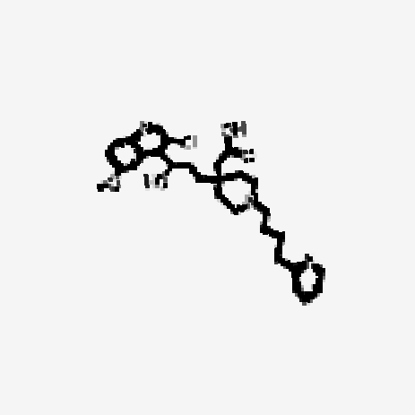 COc1ccc2ncc(Cl)c([C@H](O)CCC3(CC(=O)O)CCN(CCCCc4ccccn4)CC3)c2c1